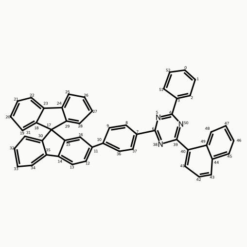 c1ccc(-c2nc(-c3ccc(-c4ccc5c(c4)C4(c6ccccc6-c6ccccc64)c4ccccc4-5)cc3)nc(-c3cccc4ccccc34)n2)cc1